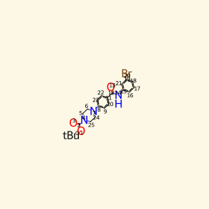 CC(C)(C)OC(=O)N1CCN(c2ccc(C(=O)Nc3cccc(Br)c3)cc2)CC1